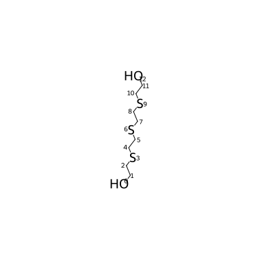 OCCSCCSCCSCCO